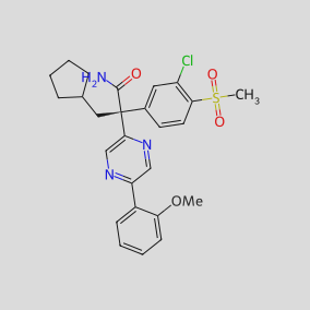 COc1ccccc1-c1cnc([C@](CC2CCCC2)(C(N)=O)c2ccc(S(C)(=O)=O)c(Cl)c2)cn1